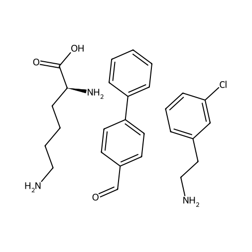 NCCCC[C@H](N)C(=O)O.NCCc1cccc(Cl)c1.O=Cc1ccc(-c2ccccc2)cc1